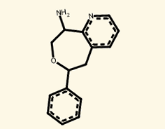 NC1COC(c2ccccc2)Cc2cccnc21